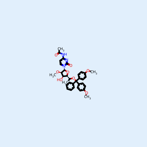 COc1ccc(C(OC(C)[C@@H]2O[C@@H](n3ccc(NC(C)=O)nc3=O)[C@H](OC)[C@@H]2O)(c2ccccc2)c2ccc(OC)cc2)cc1